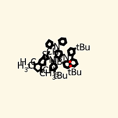 Cc1sc2cc3c(cc2c1N(c1ccc(C(C)(C)C)cc1)c1cc(N(c2ccccc2)c2ccccc2)cc2c1Bc1cc(C(C)(C)C)ccc1N2c1ccc(C(C)(C)C)cc1-c1ccccc1)C(C)(C)CCC3(C)C